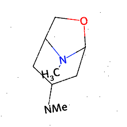 CNC1CC2COC(C1)N2C